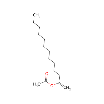 C=C(CCCCCCCCCCC)OC(C)=O